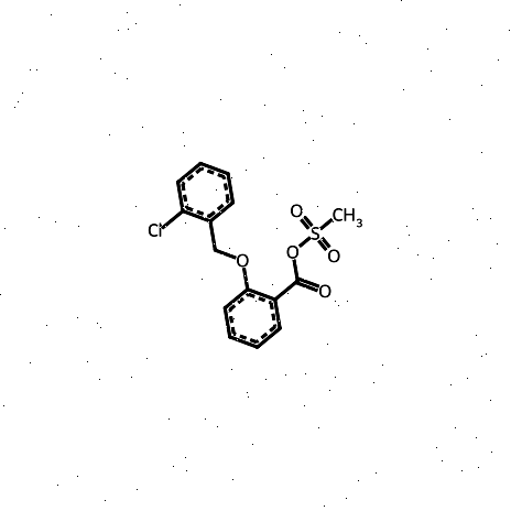 CS(=O)(=O)OC(=O)c1ccccc1OCc1ccccc1Cl